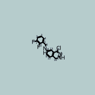 Fc1cccc(CNc2ccc3c(c2)C(Cl)=NNC3)c1F